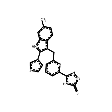 Cc1ccc2c(Cc3cccc(-c4noc(=S)[nH]4)n3)c(-c3ccsc3)[nH]c2c1